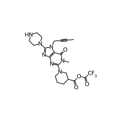 CC#CCn1c(N2CCNCC2)nc2nc(N3CCCC(C(=O)OC(=O)C(F)(F)F)C3)n(C)c(=O)c21